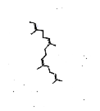 C/C=C(\C)CCC=C(C)CCC=C(C)CCC=C(C)C